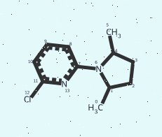 CC1CCC(C)N1c1cc[c]c(Cl)n1